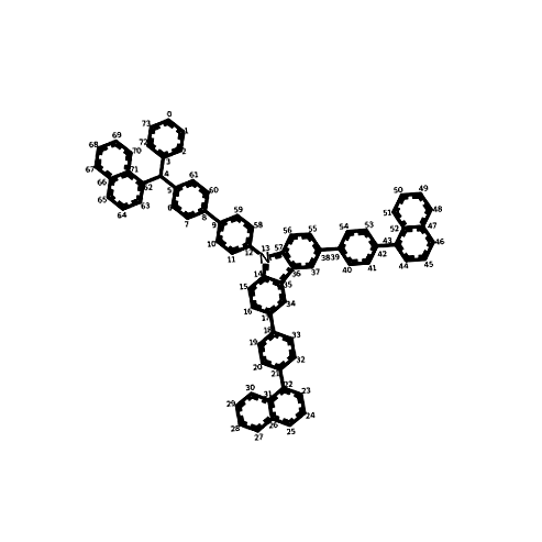 c1ccc(C(c2ccc(-c3ccc(-n4c5ccc(-c6ccc(-c7cccc8ccccc78)cc6)cc5c5cc(-c6ccc(-c7cccc8ccccc78)cc6)ccc54)cc3)cc2)c2cccc3ccccc23)cc1